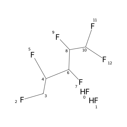 F.F.FCC(F)C(F)C(F)C(F)F